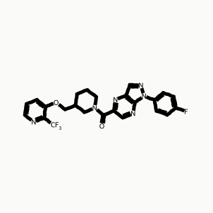 O=C(c1cnc2c(cnn2-c2ccc(F)cc2)n1)N1CCCC(COc2cccnc2C(F)(F)F)C1